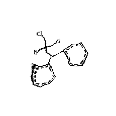 ClC(Cl)(Cl)N(c1ccccc1)c1ccccc1